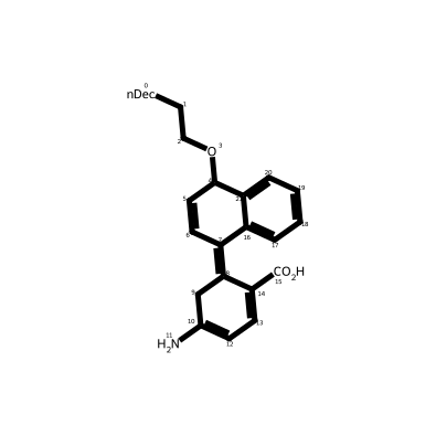 CCCCCCCCCCCCOC1C=CC(=C2CC(N)=CC=C2C(=O)O)c2ccccc21